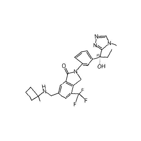 CC[C@@](O)(c1cccc(N2Cc3c(cc(CNC4(C)CCC4)cc3C(F)(F)F)C2=O)c1)c1nncn1C